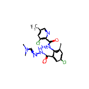 Cc1cc(Cl)cc(C(=O)NN=CN(C)C)c1NC(=O)c1ncc(C(F)(F)F)cc1Cl